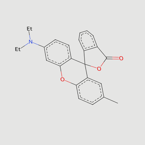 CCN(CC)c1ccc2c(c1)Oc1ccc(C)cc1C21OC(=O)c2ccccc21